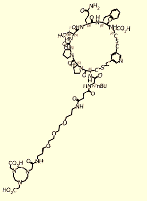 CCCC[C@H](NC(=O)CCC(=O)NCCCOCCOCCOCCCNC(=O)CN1CCN(CC(=O)O)CCN(CC(=O)O)CC1)C(=O)N[C@H]1CSCc2cncc(c2)CSC[C@@H](C(=O)O)NC(=O)[C@H](Cc2ccccc2)NC(=O)[C@H](CCC(N)=O)NC(=O)[C@H]([C@@H](C)O)NC(=O)[C@@H]2CCCN2C(=O)[C@@H]2CCCN2C1=O